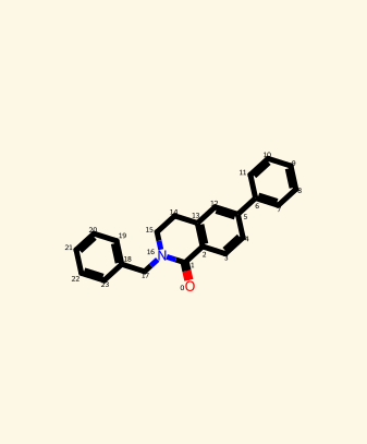 O=C1c2ccc(-c3ccccc3)cc2CCN1Cc1ccccc1